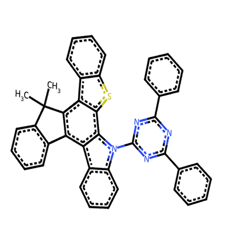 CC1(C)c2ccccc2-c2c1c1c3ccccc3sc1c1c2c2ccccc2n1-c1nc(-c2ccccc2)nc(-c2ccccc2)n1